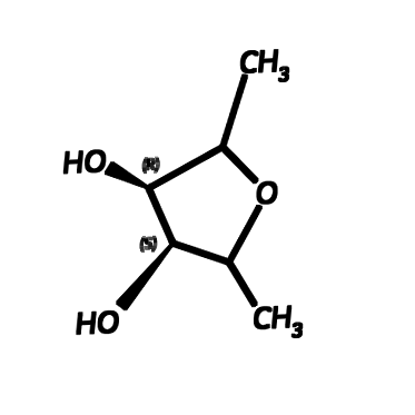 CC1OC(C)[C@H](O)[C@@H]1O